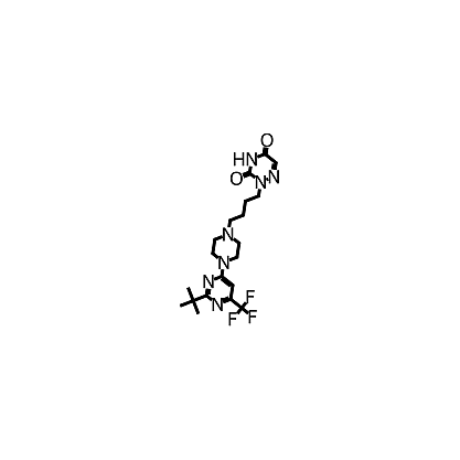 CC(C)(C)c1nc(N2CCN(CCCCn3ncc(=O)[nH]c3=O)CC2)cc(C(F)(F)F)n1